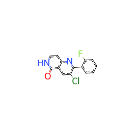 O=c1[nH]ccc2nc(-c3ccccc3F)c(Cl)cc12